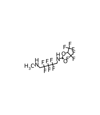 CNCC(F)(F)C(F)(F)C(F)(F)CNC(=O)OC(C(F)(F)F)C(F)(F)F